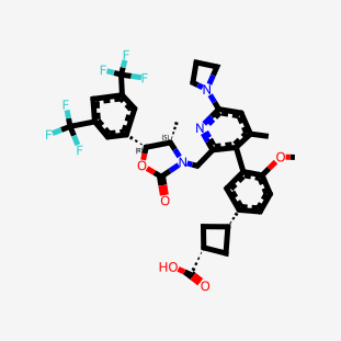 COc1ccc([C@H]2C[C@@H](C(=O)O)C2)cc1-c1c(C)cc(N2CCC2)nc1CN1C(=O)O[C@H](c2cc(C(F)(F)F)cc(C(F)(F)F)c2)[C@@H]1C